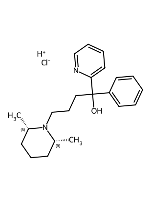 C[C@@H]1CCC[C@H](C)N1CCCC(O)(c1ccccc1)c1ccccn1.[Cl-].[H+]